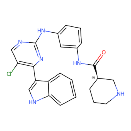 O=C(Nc1cccc(Nc2ncc(Cl)c(-c3c[nH]c4ccccc34)n2)c1)[C@@H]1CCCNC1